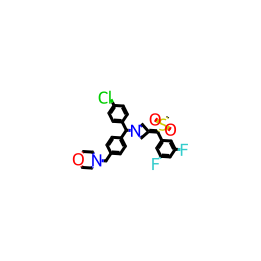 CS(=O)(=O)C(=C1CN(C(c2ccc(Cl)cc2)c2ccc(CN3CCOCC3)cc2)C1)c1cc(F)cc(F)c1